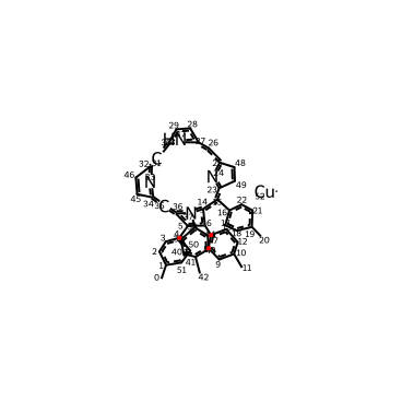 Cc1ccc(-c2c(-c3ccc(C)cc3)c3c(-c4ccc(C)cc4)c4nc(cc5ccc(cc6nc(cc2n3-c2ccc(C)cc2)C=C6)[nH]5)C=C4)cc1.[Cu]